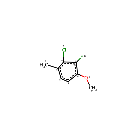 COc1ccc(C)c(Cl)c1F